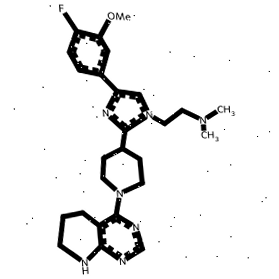 COc1cc(-c2cn(CCN(C)C)c(C3CCN(c4ncnc5c4CCCN5)CC3)n2)ccc1F